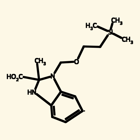 CC1(C(=O)O)Nc2cc[c]cc2N1COCC[Si](C)(C)C